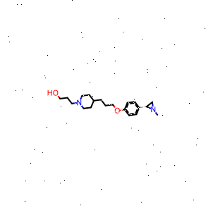 CN1C[C@H]1c1ccc(OCCCC2CCN(CCCO)CC2)cc1